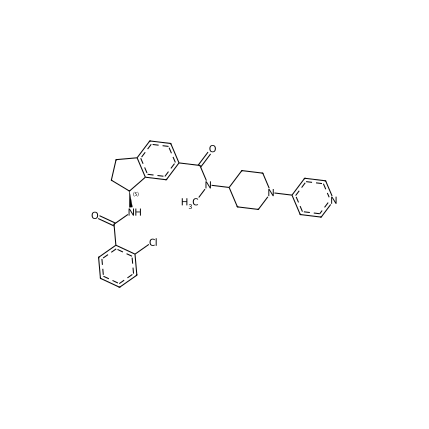 CN(C(=O)c1ccc2c(c1)[C@@H](NC(=O)c1ccccc1Cl)CC2)C1CCN(c2ccncc2)CC1